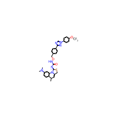 CC1C=C2CS/C(=N\C(=O)NOCc3ccc(-c4ncn(-c5ccc(OC(F)(F)F)cc5)n4)cc3)N2c2cc(N(C)C)ccc21